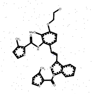 COc1c(OCCCl)ccc(/C=C/c2nn(C(=O)c3sccc3C)c3ccccc23)c1NC(=O)c1sccc1C